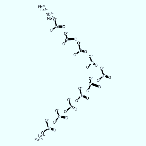 [La+3].[La+3].[Nb+5].[Nb+5].[O]=[Ti]([O-])[O-].[O]=[Ti]([O-])[O-].[O]=[Ti]([O-])[O-].[O]=[Ti]([O-])[O-].[O]=[Ti]([O-])[O-].[O]=[Zr]([O-])[O-].[O]=[Zr]([O-])[O-].[O]=[Zr]([O-])[O-].[O]=[Zr]([O-])[O-].[O]=[Zr]([O-])[O-].[Pb+2].[Pb+2]